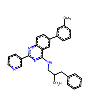 COc1cccc(-c2ccc3nc(-c4cccnc4)nc(NCC(Cc4ccccc4)C(=O)O)c3c2)c1